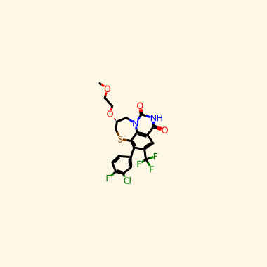 COCCO[C@H]1CSc2c(-c3ccc(F)c(Cl)c3)c(C(F)(F)F)cc3c(=O)[nH]c(=O)n(c23)C1